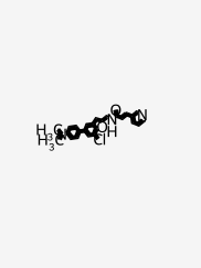 CN(C)c1ccc(-c2cc(Cl)c3c(c2)CC(CNC(=O)/C=C/c2cccnc2)O3)cc1